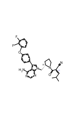 CC(C)/C=C(/C#N)C(=O)N1CCC[C@H]1Cn1cc(-c2ccc(Oc3cccc(F)c3F)cc2)c2c(N)ncnc21